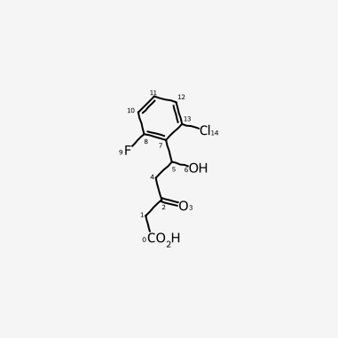 O=C(O)CC(=O)CC(O)c1c(F)cccc1Cl